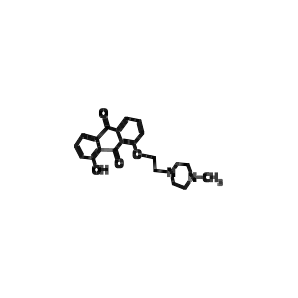 CN1CCN(CCOc2cccc3c2C(=O)c2c(O)cccc2C3=O)CC1